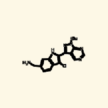 CC(C)(C)n1nc(-c2[nH]c3cc(CN)ccc3c2Cl)c2cncnc21